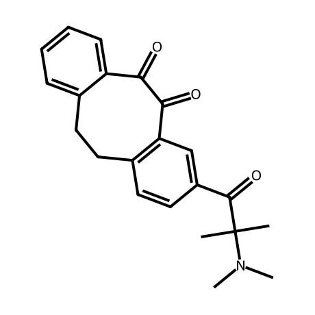 CN(C)C(C)(C)C(=O)c1ccc2c(c1)C(=O)C(=O)c1ccccc1CC2